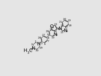 CN1CCN(c2ccc(-c3cnc4c(-n5cnc6ccccc65)coc4c3)cc2)CC1